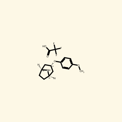 COc1ccc(O[C@@H]2C[C@H]3CC[C@@H](C2)N3)cc1.O=C(O)C(F)(F)F